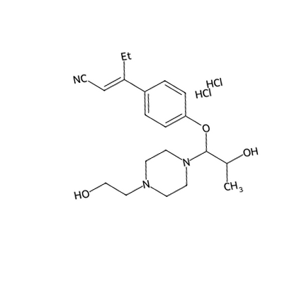 CCC(=CC#N)c1ccc(OC(C(C)O)N2CCN(CCO)CC2)cc1.Cl.Cl